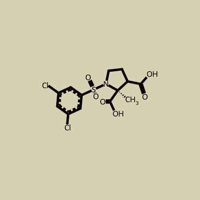 C[C@@]1(C(=O)O)C(C(=O)O)CCN1S(=O)(=O)c1cc(Cl)cc(Cl)c1